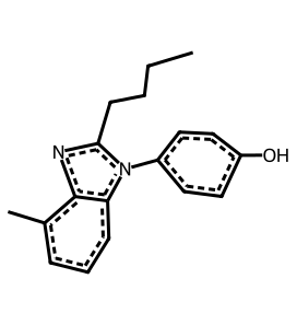 CCCCc1nc2c(C)cccc2n1-c1ccc(O)cc1